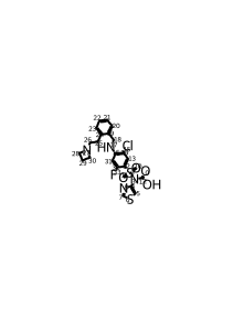 O=C(O)N(c1cscn1)S(=O)(=O)c1cc(Cl)c(NCc2ccccc2CCN2CCC2)cc1F